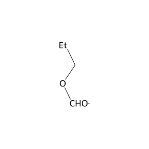 [CH2]CCO[C]=O